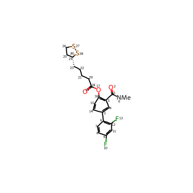 CNC(=O)c1cc(-c2ccc(F)cc2F)ccc1OC(=O)CCCC[C@@H]1CCSS1